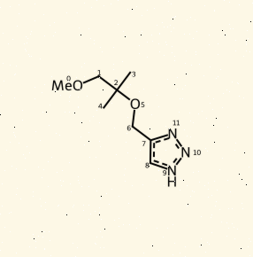 COCC(C)(C)OCc1c[nH]nn1